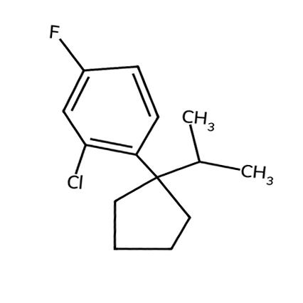 CC(C)C1(c2ccc(F)cc2Cl)CCCC1